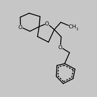 CCC1(COCc2ccccc2)CCC2(CCCOC2)O1